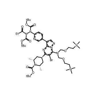 CCC(=O)N(C(=O)OC(C)(C)C)N(C(=O)OC(C)(C)C)c1ccc(-c2cnn3c(N(COCC[Si](C)(C)C)COCC[Si](C)(C)C)c(Br)c([C@@H]4C[C@@H](C)N(C(=O)OC(C)(C)C)[C@@H](C)C4)nc23)cn1